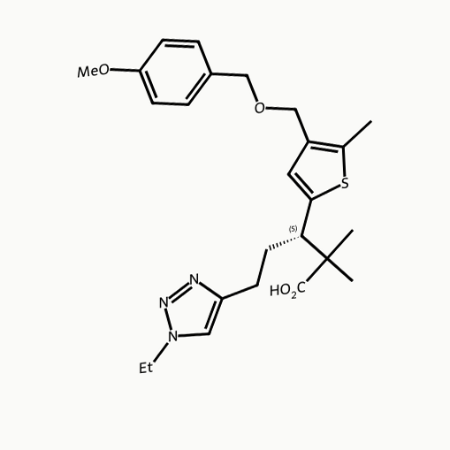 CCn1cc(CC[C@H](c2cc(COCc3ccc(OC)cc3)c(C)s2)C(C)(C)C(=O)O)nn1